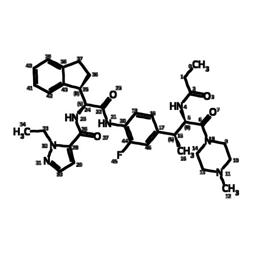 CCC(=O)N[C@@H](C(=O)N1CCN(C)CC1)[C@@H](C)c1ccc(NC(=O)[C@@H](NC(=O)c2ccnn2CC)[C@@H]2CCc3ccccc32)c(F)c1